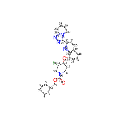 O=C(OCc1ccccc1)N1CCC(Oc2cccc3ccc(-c4nnc5ccccn45)nc23)C(F)C1